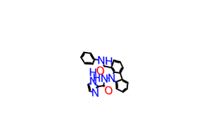 O=C(Nn1c2ccccc2c2cccc(C(=O)Nc3ccccc3)c21)c1ncc[nH]1